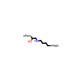 CCCCCCCCCCCNCC(O)CCCCC